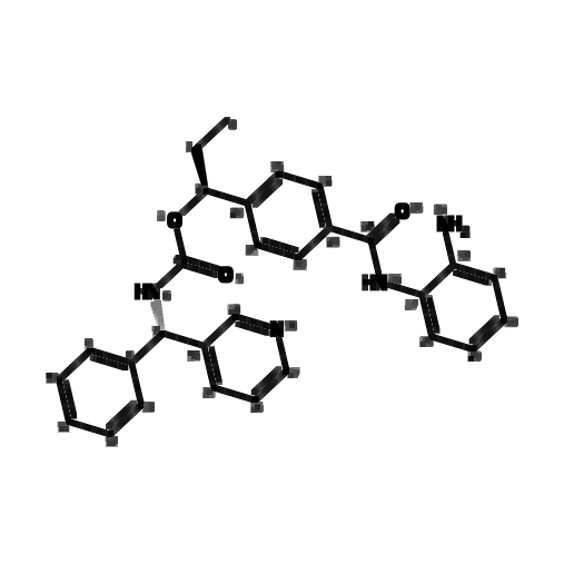 CC[C@H](OC(=O)N[C@@H](c1ccccc1)c1cccnc1)c1ccc(C(=O)Nc2ccccc2N)cc1